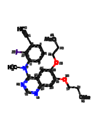 C#Cc1cccc(N(C)c2ncnc3cc(OCCOC)c(OCCOC)cc23)c1I